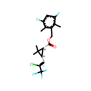 Cc1c(F)cc(F)c(C)c1COC(=O)[C@@H]1[C@H](/C=C(\Cl)C(F)(F)F)C1(C)C